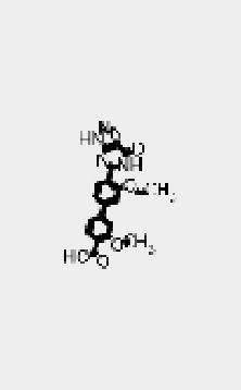 CCOc1cc(-c2ccc(C(=O)O)c(OC)c2)ccc1-c1nc2[nH]nnc2c(=O)[nH]1